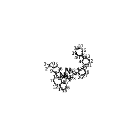 CC(C)(C)c1ccc2c(c1)c1ccc3ccccc3c1n2-c1ncc(-c2cccc(-c3cccc(-c4ccccc4)c3)c2)cn1